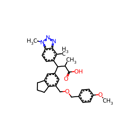 COc1ccc(COCc2cc(C(c3ccc4c(nnn4C)c3C)C(C)C(=O)O)cc3c2CCC3)cc1